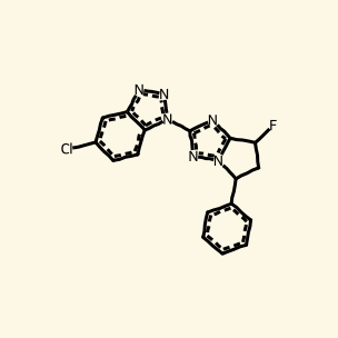 FC1CC(c2ccccc2)n2nc(-n3nnc4cc(Cl)ccc43)nc21